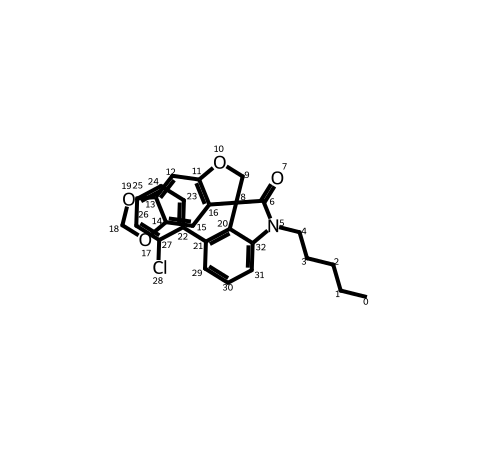 CCCCCN1C(=O)C2(COc3cc4c(cc32)OCO4)c2c(-c3ccccc3Cl)cccc21